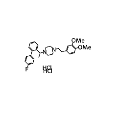 COc1ccc(CCN2CCN(C(C)c3ccccc3-c3ccc(F)cc3)CC2)cc1OC.Cl.Cl